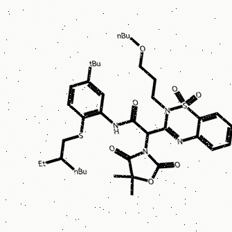 CCCCOCCCN1C(C(C(=O)Nc2cc(C(C)(C)C)ccc2SCC(CC)CCCC)N2C(=O)OC(C)(C)C2=O)=Nc2ccccc2S1(=O)=O